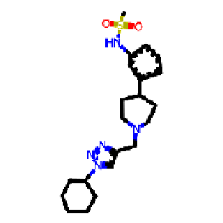 CS(=O)(=O)Nc1cccc(C2CCN(Cc3cn(C4CCCCC4)nn3)CC2)c1